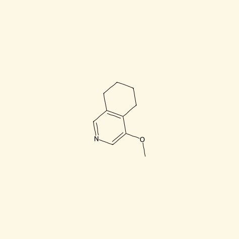 COc1cncc2c1CCCC2